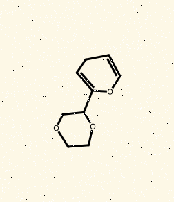 C1=COC(C2COCCO2)=CC1